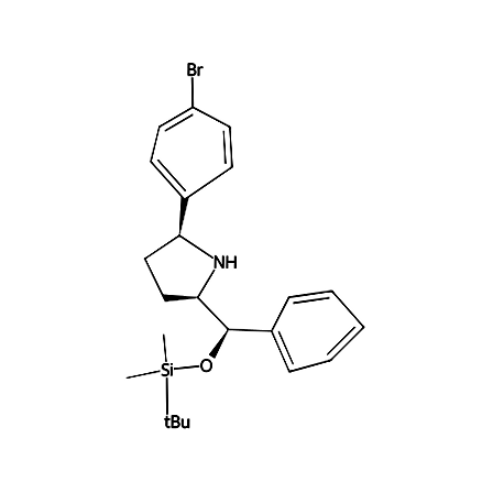 CC(C)(C)[Si](C)(C)O[C@H](c1ccccc1)[C@H]1CC[C@@H](c2ccc(Br)cc2)N1